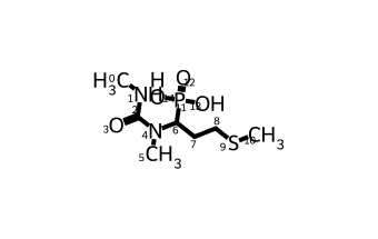 CNC(=O)N(C)C(CCSC)P(=O)(O)O